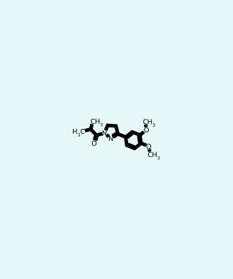 COc1ccc(C2=NN(C(=O)C(C)C)CC2)cc1OC